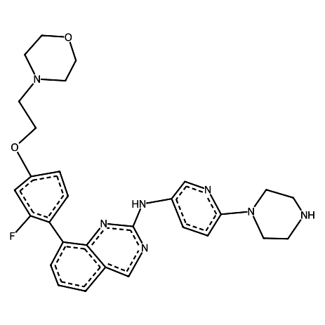 Fc1cc(OCCN2CCOCC2)ccc1-c1cccc2cnc(Nc3ccc(N4CCNCC4)nc3)nc12